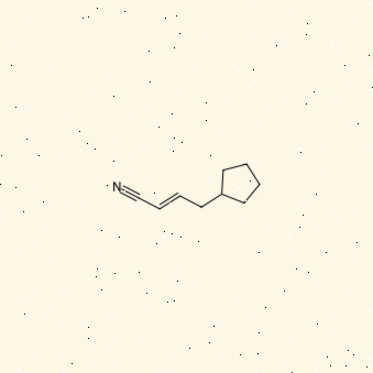 N#C/C=C/CC1CCCC1